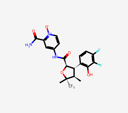 C[C@@H]1[C@@H](c2ccc(F)c(F)c2O)[C@H](C(=O)Nc2cc[n+]([O-])c(C(N)=O)c2)O[C@@]1(C)C(F)(F)F